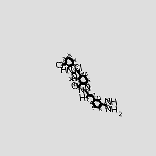 CC(=Cc1cccc(C(=N)N)c1)c1nc2ccc3nc(Nc4c(Cl)cccc4Cl)n(C)c3c2c(=O)[nH]1